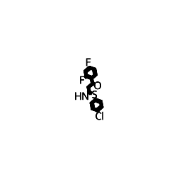 N=C(CC(=O)c1ccc(F)cc1F)Sc1ccc(Cl)cc1